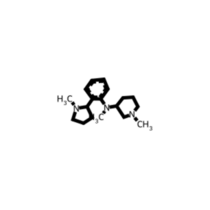 CN1CCCC(N(C)c2ccccc2C2CCCN2C)C1